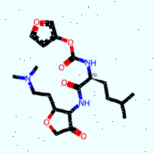 CC(C)CC[C@H](NC(=O)Oc1ccoc1)C(=O)NC1C(=O)COC1CCN(C)C